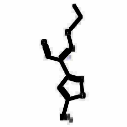 CCO/N=C(\[C]=O)c1cc(N)on1